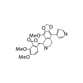 COc1ccc2c(c1OC)C(=O)OC2[C@H]1c2c(c(-c3ccncc3)c3c(c2OC)OCO3)CCN1C